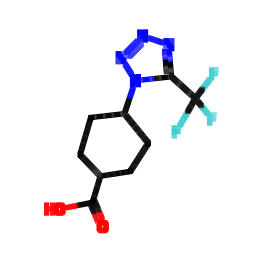 O=C(O)C1CCC(n2nnnc2C(F)(F)F)CC1